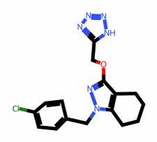 Clc1ccc(Cn2nc(OCc3nnn[nH]3)c3c2CCCC3)cc1